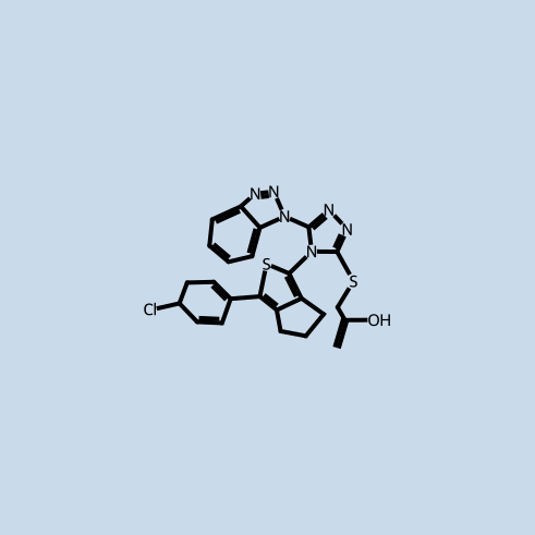 C=C(O)CSc1nnc(-n2nnc3ccccc32)n1-c1sc(C2=CCC(Cl)C=C2)c2c1CCC2